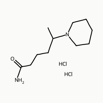 CC(CCCC(N)=O)N1CCCCC1.Cl.Cl